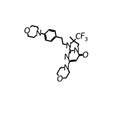 CC1(C(F)(F)F)Cn2c(nc(N3CCOCC3)cc2=O)N1CCc1ccc(N2CCOCC2)cc1